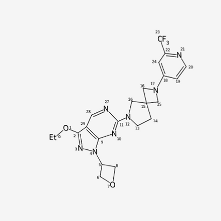 CCOc1nn(C2COC2)c2nc(N3CCC4(CN(c5ccnc(C(F)(F)F)c5)C4)C3)ncc12